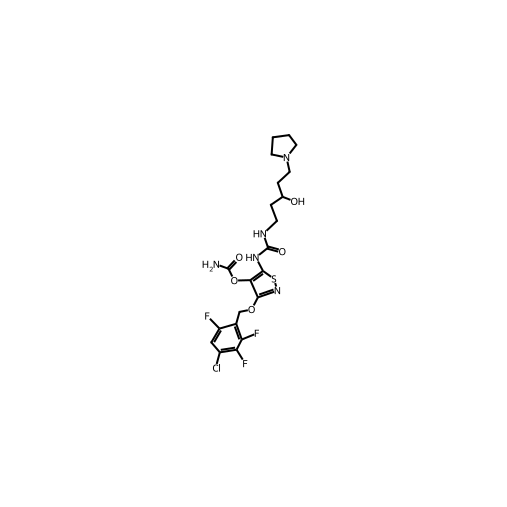 NC(=O)Oc1c(OCc2c(F)cc(Cl)c(F)c2F)nsc1NC(=O)NCCC(O)CCN1CCCC1